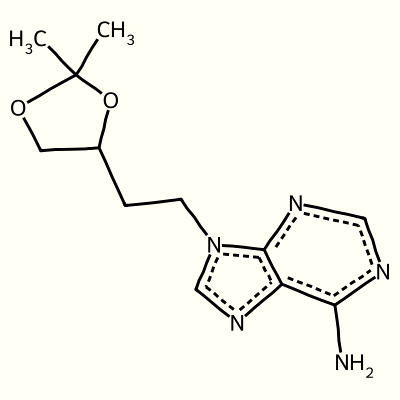 CC1(C)OCC(CCn2cnc3c(N)ncnc32)O1